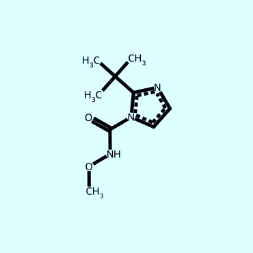 CONC(=O)n1ccnc1C(C)(C)C